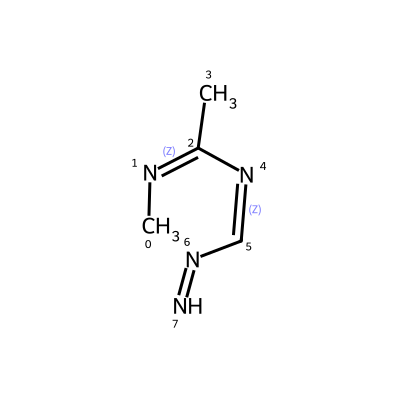 C/N=C(C)\N=C/N=N